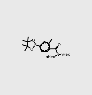 CCCCCCN(CCCCCC)C(=O)c1ccc(B2OC(C)(C)C(C)(C)O2)cc1C